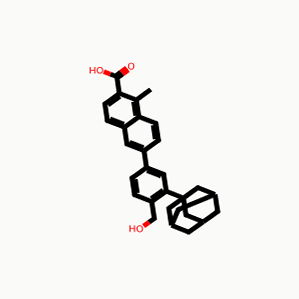 Cc1c(C(=O)O)ccc2cc(-c3ccc(CO)c(C45CC6CC(CC(C6)C4)C5)c3)ccc12